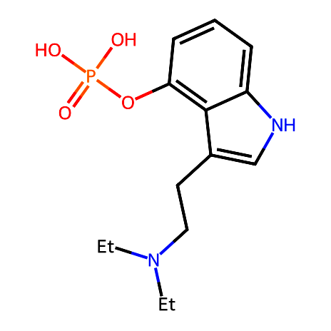 CCN(CC)CCc1c[nH]c2cccc(OP(=O)(O)O)c12